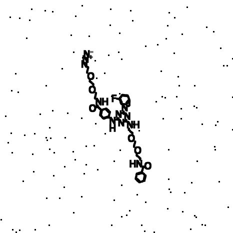 [N-]=[N+]=NCCOCCOCCNC(=O)c1ccc(Nc2nc(NCCOCCOCCNC(=O)c3ccccc3)nc(N3Cc4ccc(F)c3c4)n2)cc1